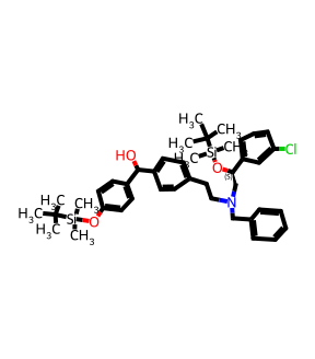 CC(C)(C)[Si](C)(C)Oc1ccc(C(O)c2ccc(CCN(Cc3ccccc3)C[C@@H](O[Si](C)(C)C(C)(C)C)c3cccc(Cl)c3)cc2)cc1